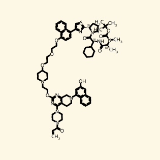 C=CC(=O)N1CCN(c2nc(OCCN3CCC(OCCOCCOc4ccc(-c5csc([C@@H]6CCCN6C(=O)[C@@H](NC(=O)[C@H](C)N(C)C(=O)OC(C)(C)C)C6CCCCC6)n5)c5ccccc45)CC3)nc3c2CCN(c2cc(O)cc4ccccc24)C3)CC1